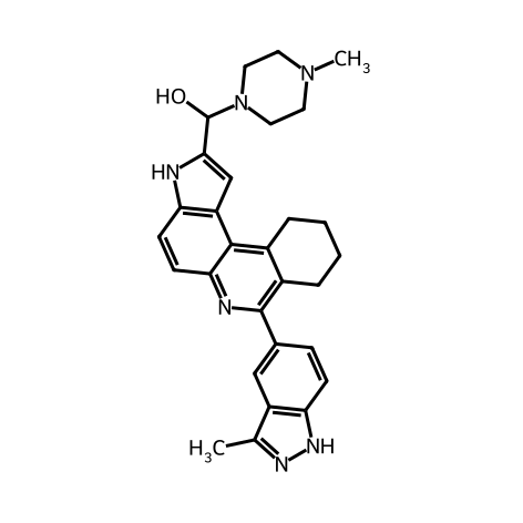 Cc1n[nH]c2ccc(-c3nc4ccc5[nH]c(C(O)N6CCN(C)CC6)cc5c4c4c3CCCC4)cc12